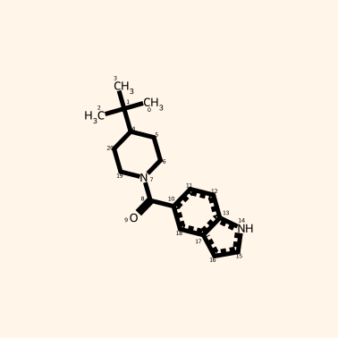 CC(C)(C)C1CCN(C(=O)c2ccc3[nH]ccc3c2)CC1